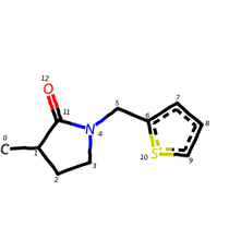 CC1CCN(Cc2cccs2)C1=O